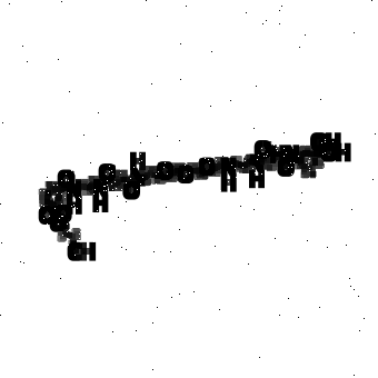 C#CCCCOS(=O)(=O)c1cccc(C(=O)NCCCNC(=O)CCC(=O)NCCCOCCOCCOCCNCCCNC(=O)CCC(=O)NC2=CCCC(B(O)O)=C2)c1